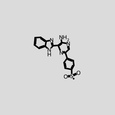 CS(=O)(=O)c1ccc(-c2cnc(N)c(-c3nc4ccccc4[nH]3)n2)cc1